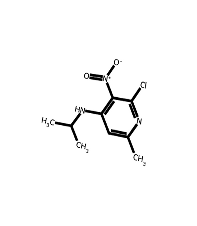 Cc1cc(NC(C)C)c([N+](=O)[O-])c(Cl)n1